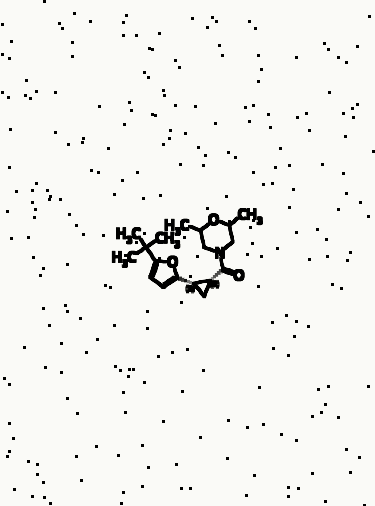 CC1CN(C(=O)[C@@H]2C[C@@H]2c2ccc(C(C)(C)C)o2)CC(C)O1